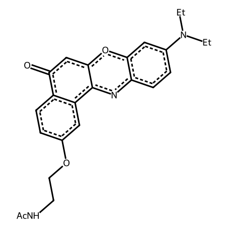 CCN(CC)c1ccc2nc3c4cc(OCCNC(C)=O)ccc4c(=O)cc-3oc2c1